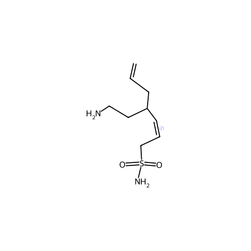 C=CCC(/C=C\CS(N)(=O)=O)CCN